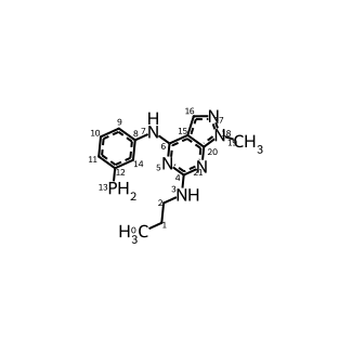 CCCNc1nc(Nc2cccc(P)c2)c2cnn(C)c2n1